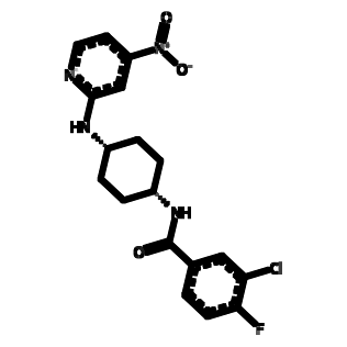 O=C(N[C@H]1CC[C@@H](Nc2cc([N+](=O)[O-])ccn2)CC1)c1ccc(F)c(Cl)c1